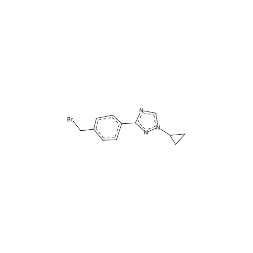 BrCc1ccc(-c2ncn(C3CC3)n2)cc1